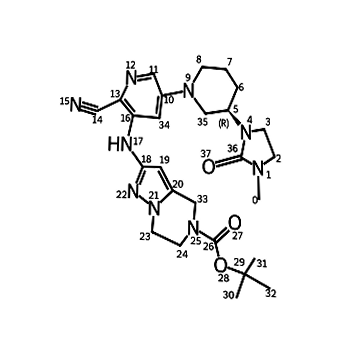 CN1CCN([C@@H]2CCCN(c3cnc(C#N)c(Nc4cc5n(n4)CCN(C(=O)OC(C)(C)C)C5)c3)C2)C1=O